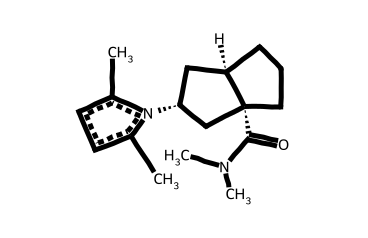 Cc1ccc(C)n1[C@@H]1C[C@H]2CCC[C@@]2(C(=O)N(C)C)C1